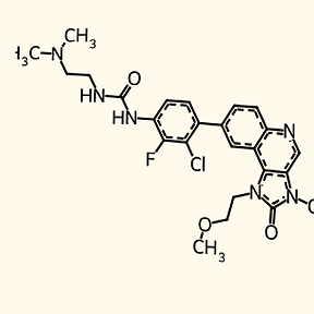 COCCn1c(=O)n(C)c2cnc3ccc(-c4ccc(NC(=O)NCCN(C)C)c(F)c4Cl)cc3c21